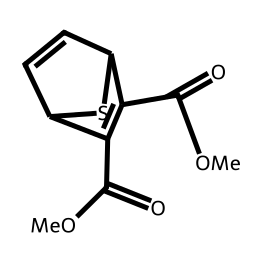 COC(=O)C1=C(C(=O)OC)C2C=CC1S2